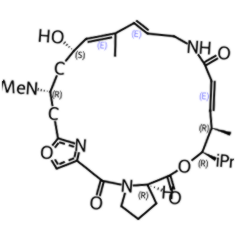 CN[C@H]1Cc2nc(co2)C(=O)N2CCC[C@@H]2C(=O)O[C@H](C(C)C)[C@H](C)/C=C/C(=O)NC/C=C/C(C)=C/[C@@H](O)C1